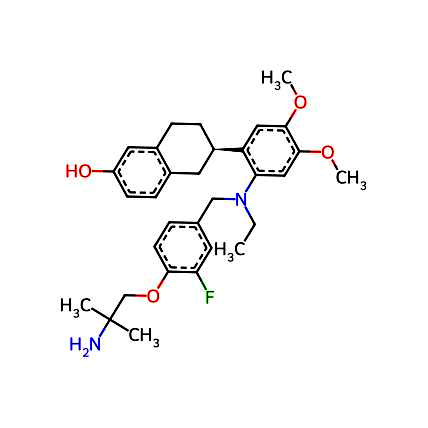 CCN(Cc1ccc(OCC(C)(C)N)c(F)c1)c1cc(OC)c(OC)cc1[C@@H]1CCc2cc(O)ccc2C1